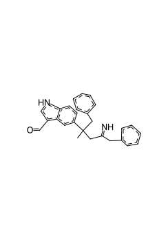 CC(CC(=N)Cc1ccccc1)(Cc1ccccc1)c1ccc2[nH]cc(C=O)c2c1